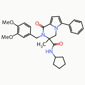 COc1ccc(CN2C(=O)c3ccc(-c4ccccc4)n3CC2(C)C(=O)NC2CCCC2)cc1OC